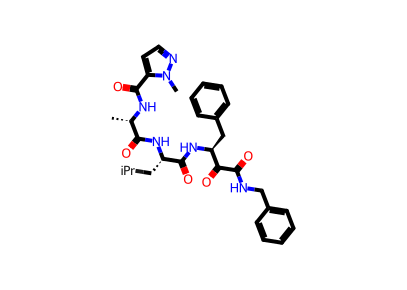 CC(C)C[C@H](NC(=O)[C@H](C)NC(=O)c1ccnn1C)C(=O)N[C@@H](Cc1ccccc1)C(=O)C(=O)NCc1ccccc1